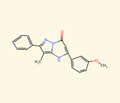 COc1cccc(-c2cc(=O)n3nc(-c4ccccc4)c(C)c3[nH]2)c1